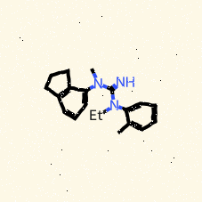 CCN(C(=N)N(C)c1cccc2c1CCC2)c1ccccc1C